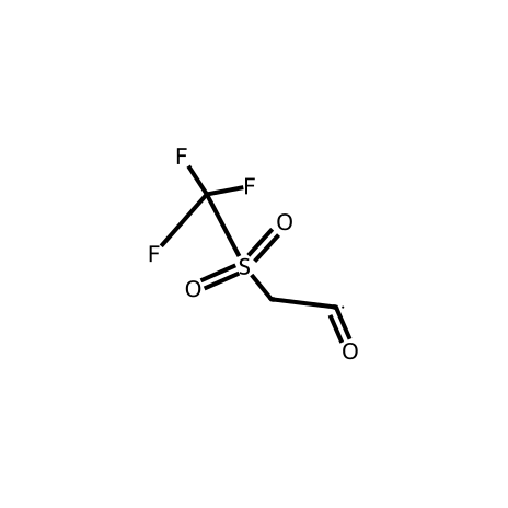 O=[C]CS(=O)(=O)C(F)(F)F